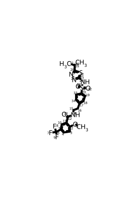 COc1ccc(C(F)(F)F)cc1C(=O)NCCc1ccc(S(=O)(=O)Nc2nnc(C(C)C)s2)cc1